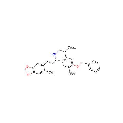 COc1cc2c(cc1OCc1ccccc1)C(OC)CNC2/C=C/c1cc2c(cc1C)OCO2